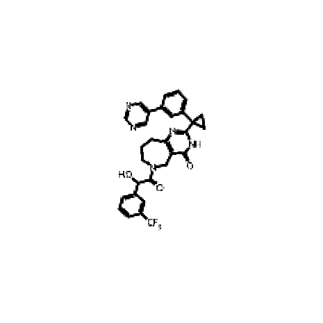 O=C(C(O)c1cccc(C(F)(F)F)c1)N1CCCc2nc(C3(c4cccc(-c5cncnc5)c4)CC3)[nH]c(=O)c2C1